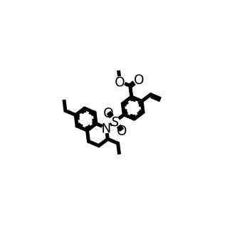 C=Cc1ccc(S(=O)(=O)N2c3ccc(CC)cc3CCC2CC)cc1C(=O)OC